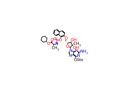 COc1nc(N)nc2c1ncn2C1O[C@H](COc2ccc3ccccc3c2O/[P+]([O-])=N/[C@@H](C)C(=O)OC2CCCCC2)[C@@H](O)[C@@]1(C)O